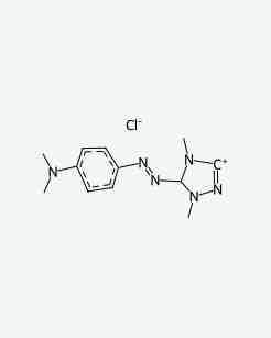 CN(C)c1ccc(N=NC2N(C)[C+]=NN2C)cc1.[Cl-]